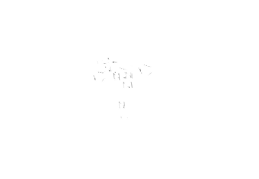 O=c1ncc2c(Cc3ccccc3)nc(NCCCN3CCOCC3)nc2n1-c1ccccc1